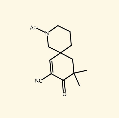 CC(=O)N1CCCC2(C=C(C#N)C(=O)C(C)(C)C2)C1